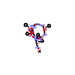 CC(C)(C)OC(=O)NCCCCC(CN1CCNC(=O)c2ccc(n(OCc3ccccc3)c2=O)CNCCN2CCNC(=O)c3ccc(c(=O)n3OCc3ccccc3)C(=O)NCCN(CCNC(=O)c3ccc(n(OCc4ccccc4)c3=O)C(=O)NCC2)CC1)NC(=O)c1cccc(=O)n1OCc1ccccc1